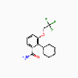 NC(=O)c1cccc(OCC(F)(F)F)c1C1CCCCC1